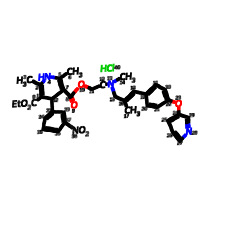 CCOC(=O)C1=C(C)NC(C)=C(C(=O)OCCN(C)CC(C)=Cc2ccc(Oc3cccnc3)cc2)C1c1cccc([N+](=O)[O-])c1.Cl